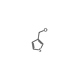 [O]Cc1ccsc1